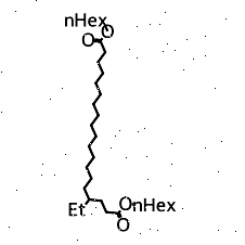 CCCCCCOC(=O)CCCCCCCCCCCCCCC(CC)CCC(=O)OCCCCCC